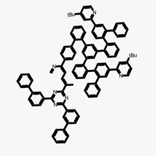 C=N/C(=C\C=C(/C)c1nc(-c2cccc(-c3ccccc3)c2)nc(-c2cccc(-c3ccccc3)c2)n1)c1ccc(-c2ccccc2-c2cc(-c3ccccc3-c3ccc(-c4cc(C(C)(C)C)ccn4)cc3-c3ccccc3)cc(-c3ccccc3-c3ccc(-c4cc(C(C)(C)C)ccn4)cc3-c3ccccc3)c2)cc1